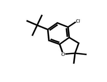 CC1(C)Cc2c(Cl)cc(C(C)(C)C)cc2O1